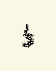 c1ccc2c(c1)oc1cc3ccc4oc5cc(-c6c7ccccc7c(-c7ccc8c(c7)sc7ccccc78)c7ccccc67)ccc5c4c3cc12